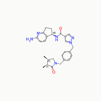 C[C@@H]1C(=O)N(Cc2ccc(Cn3cc(C(=O)N[C@@H]4CCc5nc(N)ccc54)cn3)cc2)C[C@@H]1C